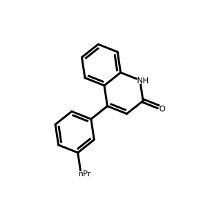 CCCc1cccc(-c2cc(=O)[nH]c3ccccc23)c1